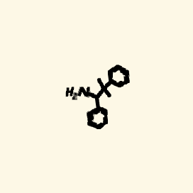 CC(C)(c1ccccc1)C(N)c1ccccc1